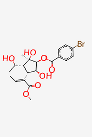 C/C=C(/C(=O)OC)[C@H]1[C@H](O)[C@H](OC(=O)c2ccc(Br)cc2)[C@](C)(O)[C@H]1C(C)O